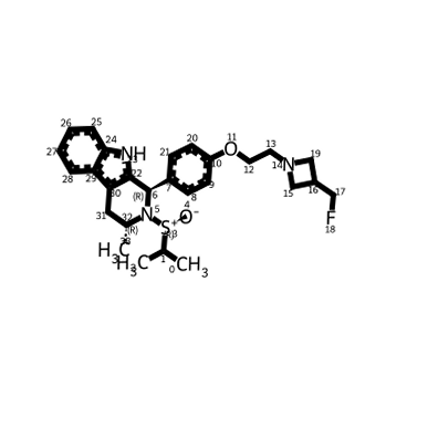 CC(C)[S@+]([O-])N1[C@H](c2ccc(OCCN3CC(CF)C3)cc2)c2[nH]c3ccccc3c2C[C@H]1C